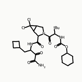 CC(C)(C)C(NC(=O)OC1CCCCC1)C(=O)N1CC2C(C1C(=O)NC(CC1CCC1)C(=O)C(N)=O)C2(Cl)Cl